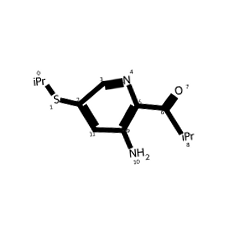 CC(C)Sc1cnc(C(=O)C(C)C)c(N)c1